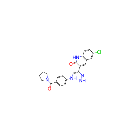 N=N/C(=C\Nc1ccc(C(=O)N2CCCC2)cc1)c1cc2cc(Cl)ccc2[nH]c1=O